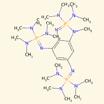 CN(C)P(=Nc1cc(N=P(N(C)C)(N(C)C)N(C)C)c2c(c1)N(C)P(N(C)C)(N(C)C)=N2)(N(C)C)N(C)C